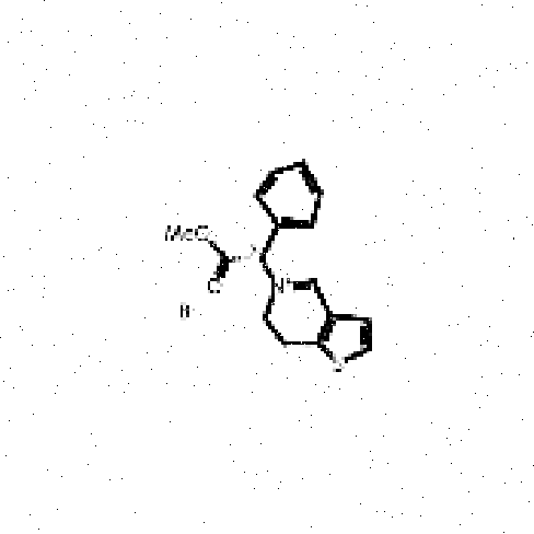 COC(=O)[C@H](c1ccccc1)[N+]1=Cc2ccsc2CC1.[Br-]